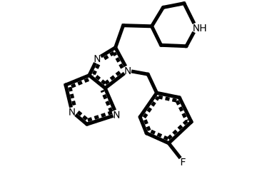 Fc1ccc(Cn2c(CC3CCNCC3)nc3cncnc32)cc1